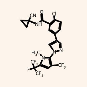 Cn1c(C(F)(C(F)(F)F)C(F)(F)F)cc(C(F)(F)F)c1-n1cc(-c2ccc(Cl)c(C(=O)NC3(C#N)CC3)c2)cn1